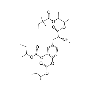 CCC(C)OC(=O)Oc1cc(C[C@H](N)C(=O)OC(C)C(C)OC(=O)C(C)(C)CC)ccc1OC(=O)O[C@@H](C)CC